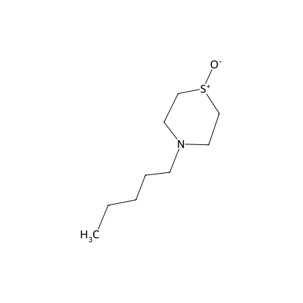 CCCCCN1CC[S+]([O-])CC1